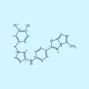 Cc1ncc2oc(-c3ccc(Nc4ccn(Cc5ccc(Cl)c(Cl)c5)n4)cc3)nn12